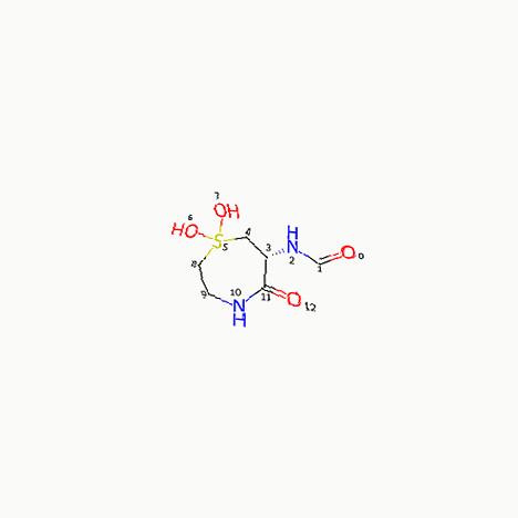 O=CN[C@H]1CS(O)(O)CCNC1=O